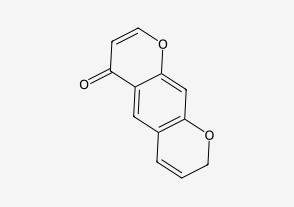 O=c1ccoc2cc3c(cc12)C=CCO3